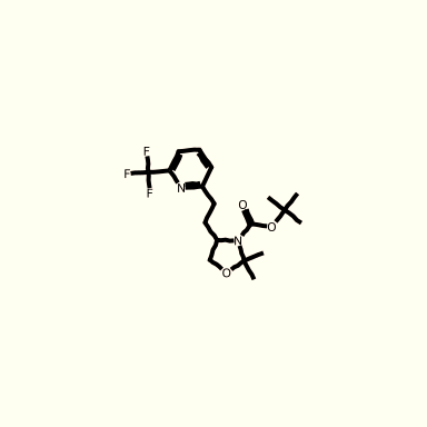 CC(C)(C)OC(=O)N1C(CCc2cccc(C(F)(F)F)n2)COC1(C)C